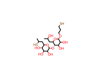 CC(O)CC1O[C@@H](OCCCS)C(O)C(O)[C@@H]1O[C@@H]1OC(CC(C)S)[C@H](O)C(O)C1O